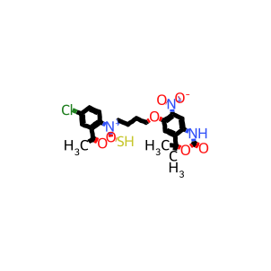 CC(=O)c1cc(Cl)ccc1[N+](=CCCCOc1cc2c(cc1[N+](=O)[O-])NC(=O)OC2(C)C)OS